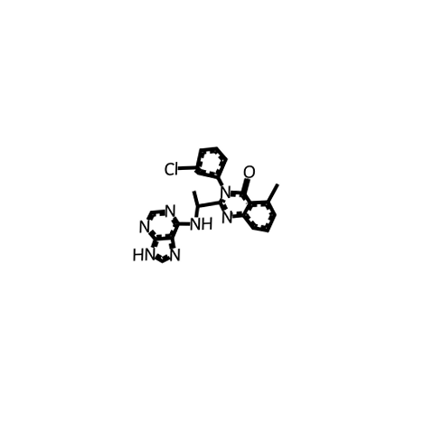 Cc1cccc2nc(C(C)Nc3ncnc4[nH]cnc34)n(-c3cccc(Cl)c3)c(=O)c12